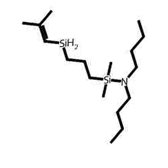 CCCCN(CCCC)[Si](C)(C)CCC[SiH2]C=C(C)C